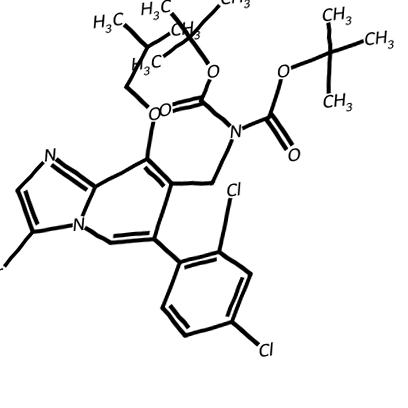 CC(C)COc1c(CN(C(=O)OC(C)(C)C)C(=O)OC(C)(C)C)c(-c2ccc(Cl)cc2Cl)cn2c(Br)cnc12